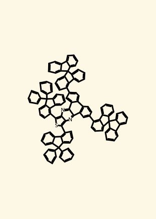 c1ccc(C2(c3ccccc3)c3ccccc3-c3c(-c4sc(-c5cccc6c5-c5ccccc5C6(c5ccccc5)c5ccccc5)c5nc6c7cc(-c8cccc9c8-c8ccccc8C98c9ccccc9-c9ccccc98)ccc7c7ccc(-c8cccc9c8-c8ccccc8C98c9ccccc9-c9ccccc98)cc7c6nc45)cccc32)cc1